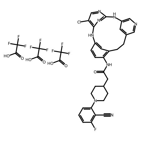 N#Cc1c(F)cccc1N1CCC(CC(=O)Nc2ccc3cc2CCc2cncc(c2)Nc2ncc(Cl)c(n2)N3)CC1.O=C(O)C(F)(F)F.O=C(O)C(F)(F)F.O=C(O)C(F)(F)F